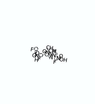 CCC(C)n1c(=O)c(-c2ccc(NS(=O)(=O)Cc3ccccc3F)c(F)c2)cc2cnc(NC3CC(F)CN(C(=O)O)C3)nc21